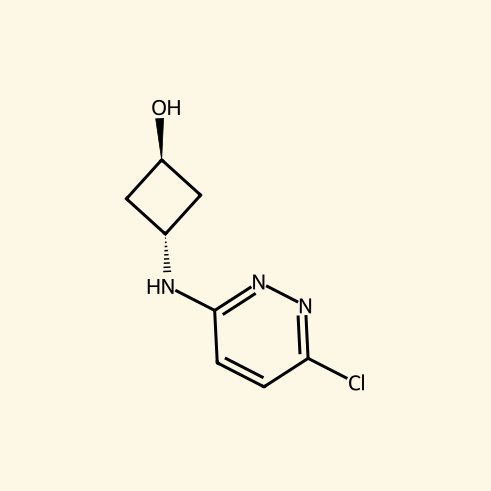 O[C@H]1C[C@H](Nc2ccc(Cl)nn2)C1